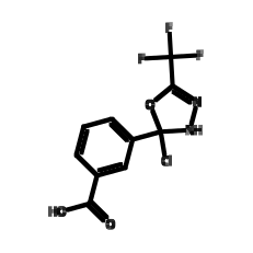 O=C(O)c1cccc(C2(Cl)NN=C(C(F)(F)F)O2)c1